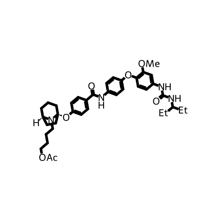 CCC(CC)NC(=O)Nc1ccc(Oc2ccc(NC(=O)c3ccc(O[C@]45CCC[C@H](CC4)N5CCCCOC(C)=O)cc3)cc2)c(OC)c1